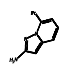 CC(C)c1cccc2cc(N)nn12